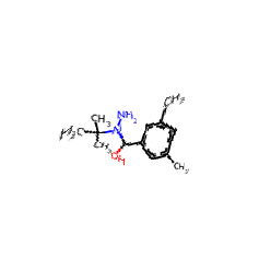 Cc1cc(C)cc(C(O)N(N)C(C)(C)C)c1